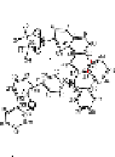 CC1(C)OB(c2ccc3ccc4ccc(N(c5ccc(-c6cccc7c6oc6ccccc67)cc5)c5ccccc5-c5ccccc5)cc4c3c2)OC1(C)C